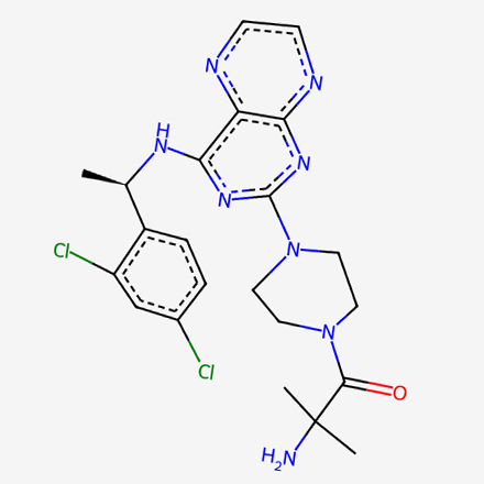 C[C@@H](Nc1nc(N2CCN(C(=O)C(C)(C)N)CC2)nc2nccnc12)c1ccc(Cl)cc1Cl